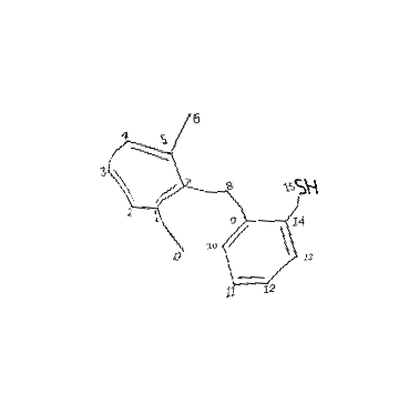 Cc1cccc(C)c1Cc1ccccc1S